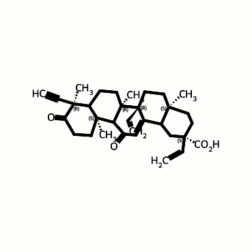 C#C[C@]1(C)C(=O)CC[C@@]2(C)C1CC[C@]1(C)C2C(=O)C=C2C3C[C@@](C=C)(C(=O)O)CC[C@]3(C)CC[C@]21C=C